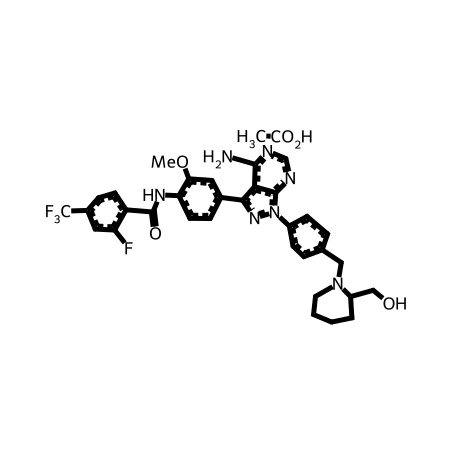 CC(=O)O.COc1cc(-c2nn(-c3ccc(CN4CCCCC4CO)cc3)c3ncnc(N)c23)ccc1NC(=O)c1ccc(C(F)(F)F)cc1F